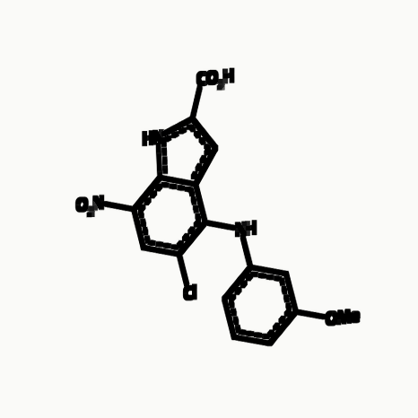 COc1cccc(Nc2c(Cl)cc([N+](=O)[O-])c3[nH]c(C(=O)O)cc23)c1